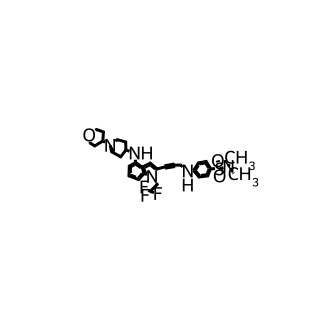 CN(C)S(=O)(=O)c1ccc(NCC#Cc2cc3c(NC4CCN(C5CCOCC5)CC4)cccc3n2CC(F)(F)F)cc1